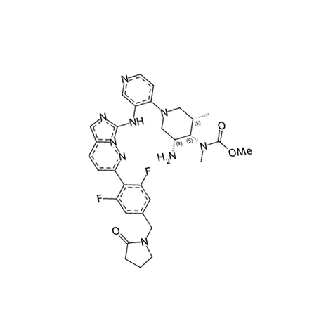 COC(=O)N(C)[C@@H]1[C@H](N)CN(c2ccncc2Nc2ncc3ccc(-c4c(F)cc(CN5CCCC5=O)cc4F)nn23)C[C@@H]1C